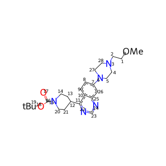 COCCN1CCN(c2ccc3c(C4CCN(C(=O)OC(C)(C)C)CC4)ncnc3c2)CC1